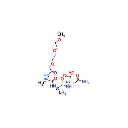 COCCOCCOCC(=O)N[C@@H](C)C(=O)N[C@H](C)C(=O)N[C@@H](CC(N)=O)C(=O)O